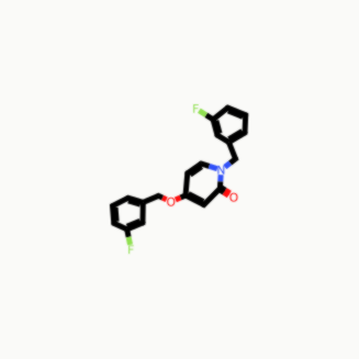 O=c1cc(OCc2cccc(F)c2)ccn1Cc1cccc(F)c1